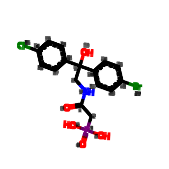 O=C(CP(=O)(O)O)NCC(O)(c1ccc(Cl)cc1)c1ccc(Br)cc1